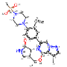 COc1cc(-c2cn3ncc(C)c3c(O[C@H](C)[C@H]3CNC(=O)C3)n2)ccc1N1CCN(S(C)(=O)=O)CC1